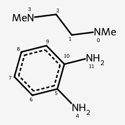 CNCCNC.Nc1ccccc1N